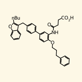 CCCCc1oc2ccccc2c1Cc1ccc(-c2ccc(OCCCc3ccccc3)c(NC(=O)CCC(=O)O)c2)cc1